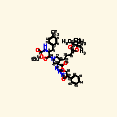 CC(C)(C)OC(=O)NC(Cc1ccc(C(F)(F)F)cc1)C(=O)N1CC(CCCB2OC(C)(C)C(C)(C)O2)C(N=[N+]=[N-])(C(=O)OCC(=O)c2ccccc2)C1